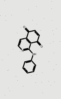 O=C1C=CC(=O)c2c1ccnc2Nc1ccccc1